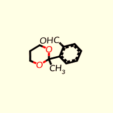 CC1(c2ccccc2C=O)OCCCO1